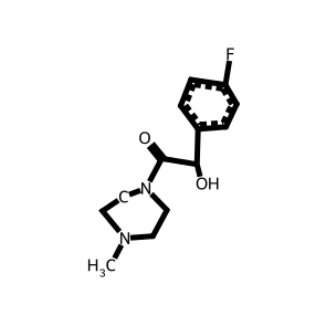 CN1CCN(C(=O)C(O)c2ccc(F)cc2)CC1